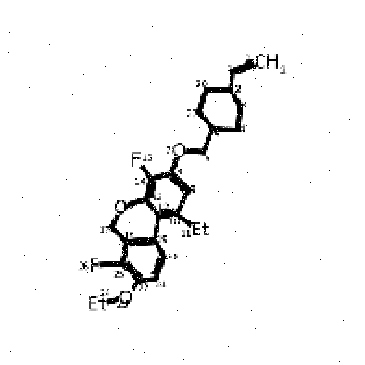 C=CC1CCC(COc2cc(CC)c3c(c2F)OCc2c-3ccc(OCC)c2F)CC1